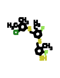 Cc1cc(SCc2cc(SCc3ccc(S)c(F)c3C)cc(F)c2C)cc(Cl)c1C